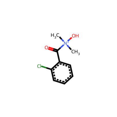 C[N+](C)(O)C(=O)c1ccccc1Cl